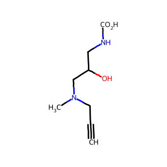 C#CCN(C)CC(O)CNC(=O)O